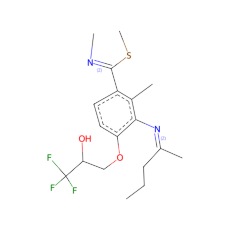 CCC/C(C)=N\c1c(OCC(O)C(F)(F)F)ccc(/C(=N/C)SC)c1C